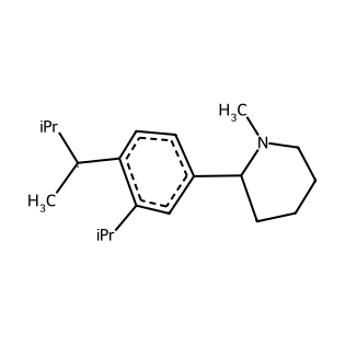 C[C](c1ccc(C2CCCCN2C)cc1C(C)C)C(C)C